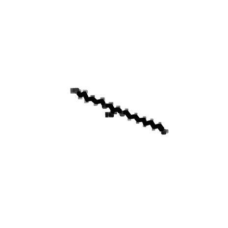 O=CCCCCCCCCOCC(O)COCCCCCCO